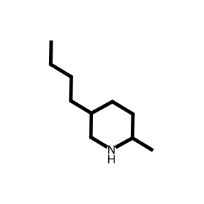 CCCCC1CCC(C)NC1